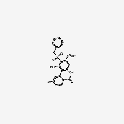 C=C(C)c1ccc(C)cc1-c1c(O)cc(CCCCC)c(S(=O)(=O)Cc2ccccc2)c1O